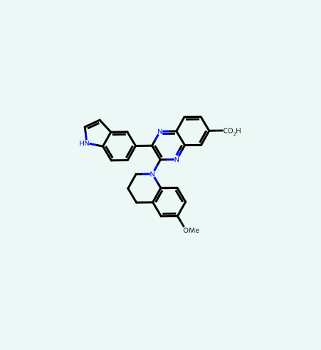 COc1ccc2c(c1)CCCN2c1nc2cc(C(=O)O)ccc2nc1-c1ccc2[nH]ccc2c1